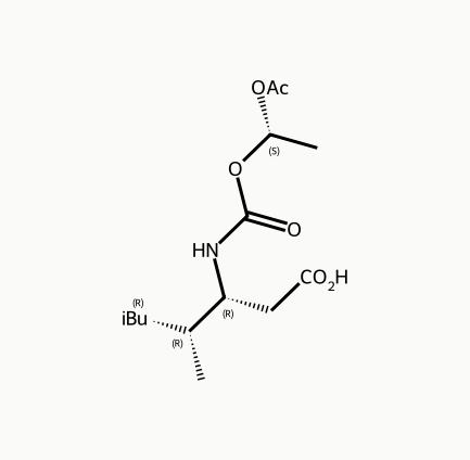 CC[C@@H](C)[C@@H](C)[C@@H](CC(=O)O)NC(=O)O[C@@H](C)OC(C)=O